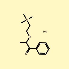 CC(OCC[N+](C)(C)C)C(=O)c1ccccc1.[OH-]